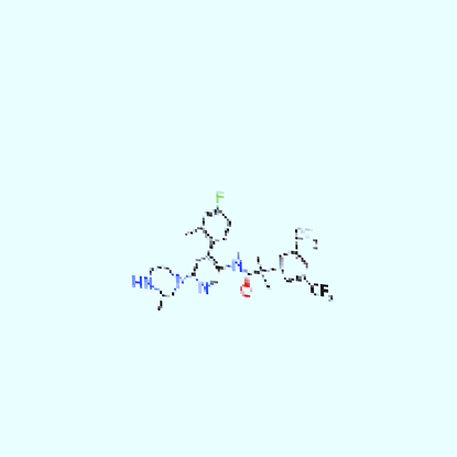 Cc1cc(F)ccc1-c1cc(N2CCN[C@H](C)C2)ncc1N(C)C(=O)C(C)(C)c1cc(C(F)(F)F)cc(C(F)(F)F)c1